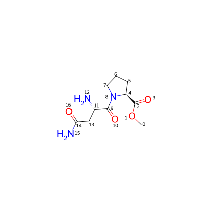 COC(=O)[C@@H]1CCCN1C(=O)[C@@H](N)CC(N)=O